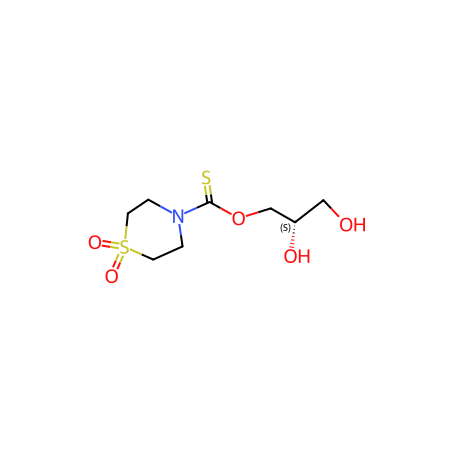 O=S1(=O)CCN(C(=S)OC[C@@H](O)CO)CC1